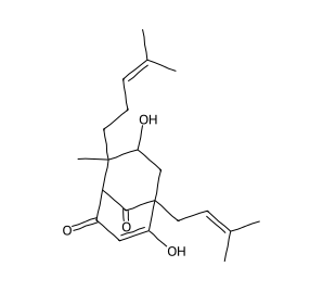 CC(C)=CCCC1(C)C(O)CC2(CC=C(C)C)C(=O)C1C(=O)C=C2O